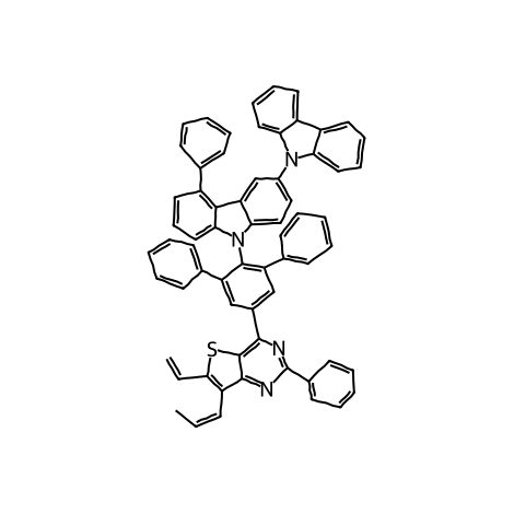 C=Cc1sc2c(-c3cc(-c4ccccc4)c(-n4c5ccc(-n6c7ccccc7c7ccccc76)cc5c5c(-c6ccccc6)cccc54)c(-c4ccccc4)c3)nc(-c3ccccc3)nc2c1/C=C\C